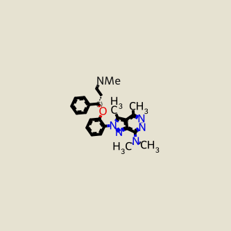 CNCC[C@H](Oc1ccccc1-n1nc2c(N(C)C)nnc(C)c2c1C)c1ccccc1